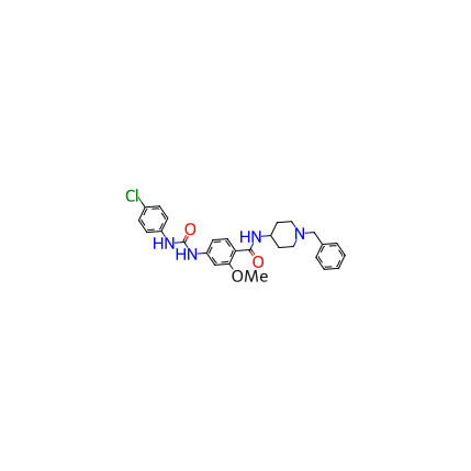 COc1cc(NC(=O)Nc2ccc(Cl)cc2)ccc1C(=O)NC1CCN(Cc2ccccc2)CC1